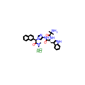 CN(C)C(=O)C(c1ccc2ccccc2c1)n1cnc(NC(=O)[C@@H](Cc2c[nH]c3ccccc23)NC(=O)C(C)(C)N)c1.Cl.Cl